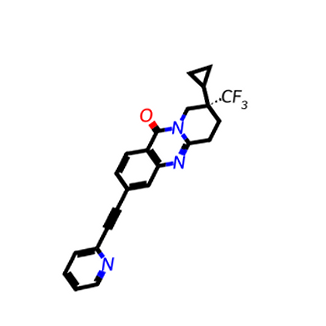 O=c1c2ccc(C#Cc3ccccn3)cc2nc2n1C[C@](C1CC1)(C(F)(F)F)CC2